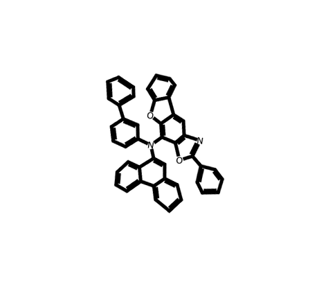 c1ccc(-c2cccc(N(c3cc4ccccc4c4ccccc34)c3c4oc(-c5ccccc5)nc4cc4c3oc3ccccc34)c2)cc1